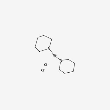 C1CC[N]([Ti+2][N]2CCCCC2)CC1.[Cl-].[Cl-]